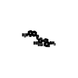 Nc1ccc2ccc(OC[C@H]3O[C@@H](n4ccc5c(N)ncnc54)[C@H](O)[C@@H]3O)cc2n1